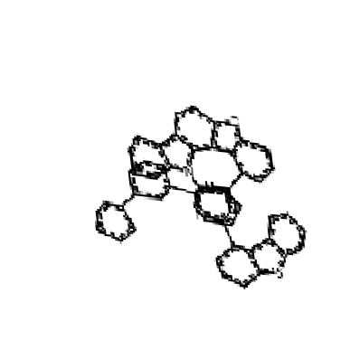 c1ccc(-c2cccc(-c3nc(-c4cccc5sc6ccccc6c45)nc(-c4cccc5oc6ccc7c8ccccc8n(-c8ccccc8)c7c6c45)n3)c2)cc1